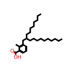 CCCCCCCCCCC(CCCCCCCC)Cc1cccc(C(=O)O)c1C